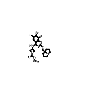 CCCCOC(=O)N1CC(Nc2nc(OCC34CCCN3CCC4)nc3c(F)c(Br)c(Cl)cc23)C1